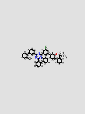 CC1(C)Oc2cc(-c3cc(F)cc(-c4nc(-c5cccc(-c6ccccc6C#N)c5)nc(-c5ccccc5-c5ccccc5)n4)c3)ccc2-c2ccccc21